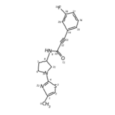 Cc1csc(N2CCC(NC(=O)C#Cc3cccc(F)c3)C2)n1